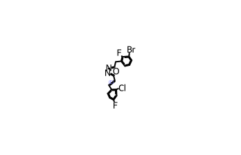 Fc1ccc(/C=C/c2nnc(Cc3cccc(Br)c3F)o2)c(Cl)c1